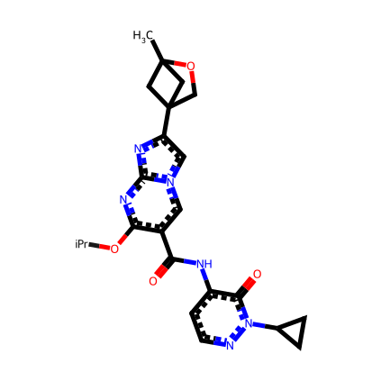 CC(C)Oc1nc2nc(C34COC(C)(C3)C4)cn2cc1C(=O)Nc1ccnn(C2CC2)c1=O